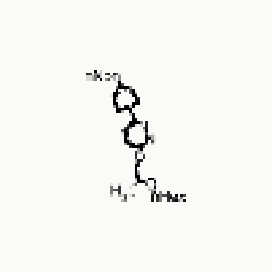 CCCCCCCCCc1ccc(-c2ccc(OC[C@@H](C)OCCCCCC)nn2)cc1